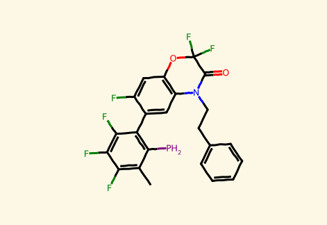 Cc1c(F)c(F)c(F)c(-c2cc3c(cc2F)OC(F)(F)C(=O)N3CCc2ccccc2)c1P